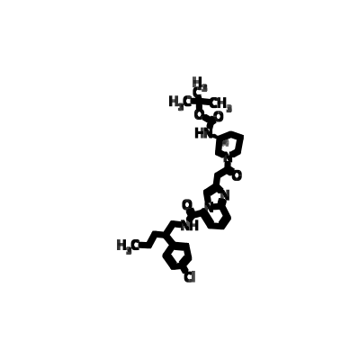 CCCC(CNC(=O)c1cccc2nc(CC(=O)N3CCC[C@@H](NC(=O)OC(C)(C)C)C3)cn12)c1ccc(Cl)cc1